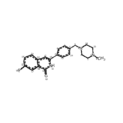 CN1CCN(Cc2ccc(-c3cc4ccc(F)cc4c(=O)[nH]3)cc2)CC1